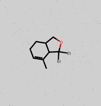 CCC1(CC)OCC2CCC=C(C)C21